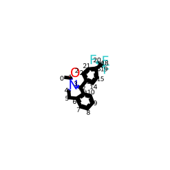 CC(=O)N1CCc2ccccc2C1c1ccc(C(F)(F)F)cc1